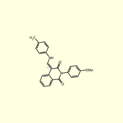 COc1ccc(N2C(=O)/C(=C\Nc3ccc(C)cc3)c3ccccc3C2=O)cc1